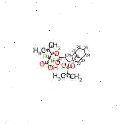 C=C(C)C(=O)OC1(CCC(=O)OC(C(C)C)C(F)(F)C(=O)O)CC2CCCC(C2)C1